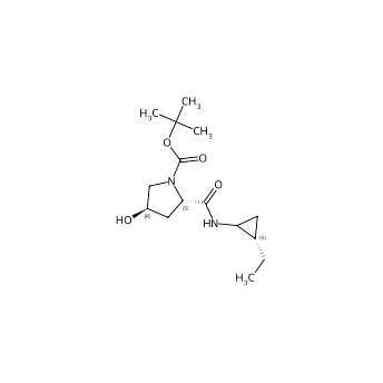 CC[C@H]1CC1NC(=O)[C@@H]1C[C@@H](O)CN1C(=O)OC(C)(C)C